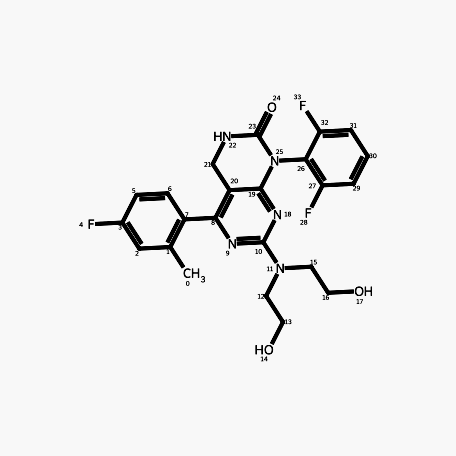 Cc1cc(F)ccc1-c1nc(N(CCO)CCO)nc2c1CNC(=O)N2c1c(F)cccc1F